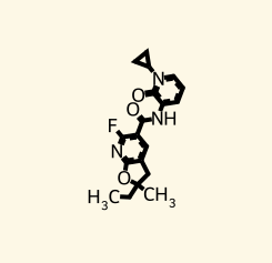 CCC1(C)Cc2cc(C(=O)Nc3cccn(C4CC4)c3=O)c(F)nc2O1